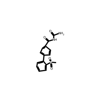 CS(=O)(=O)c1ccccc1-c1ccc(C(=O)NC(N)=O)cc1